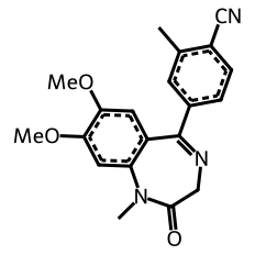 COc1cc2c(cc1OC)N(C)C(=O)CN=C2c1ccc(C#N)c(C)c1